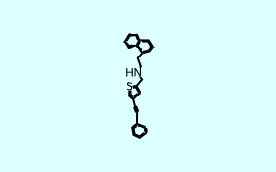 C(#Cc1csc(CNCCc2cccc3ccccc23)c1)c1ccccc1